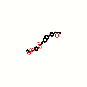 C=CC(=O)Cc1ccc(-c2ccc3cc(/C=C/C(=O)Oc4ccc(COC(=O)C=C)cc4)ccc3c2)cc1